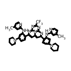 Cc1ccnc(Nc2cc(N3CCCCC3)ccc2C2=CC3=CC(c4ccc(N5CCCCC5)cc4Nc4cc(C)ccn4)=NC4=NC(C(F)(F)F)=NC(=N2)N34)c1